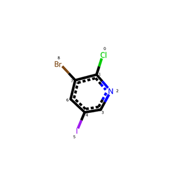 Clc1ncc(I)cc1Br